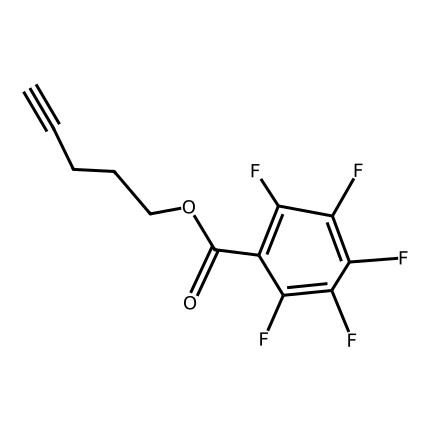 C#CCCCOC(=O)c1c(F)c(F)c(F)c(F)c1F